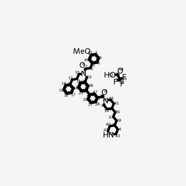 COc1cccc(CC(=O)N(CCCc2ccccc2)Cc2cccc(-c3cccc(C(=O)N4CCC(CCCC5CCNCC5)CC4)c3)c2)c1.O=C(O)C(F)(F)F